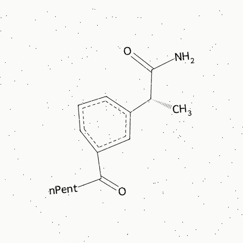 CCCCCC(=O)c1cccc([C@@H](C)C(N)=O)c1